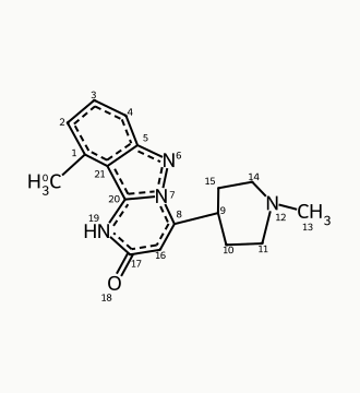 Cc1cccc2nn3c(C4CCN(C)CC4)cc(=O)[nH]c3c12